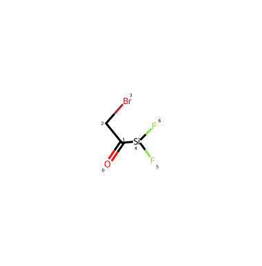 O=C(CBr)[Si](F)F